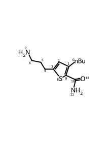 CCCCc1cc(CCCN)sc1C(N)=O